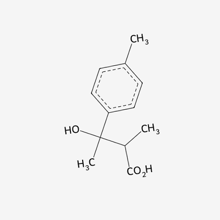 Cc1ccc(C(C)(O)C(C)C(=O)O)cc1